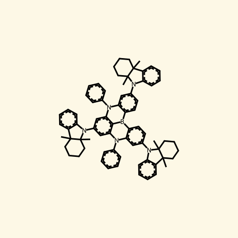 CC12CCCCC1(C)N(c1ccc3c(c1)N(c1ccccc1)c1cc(N4c5ccccc5C5(C)CCCCC45C)cc4c1B3c1ccc(N3c5ccccc5C5(C)CCCCC35C)cc1N4c1ccccc1)c1ccccc12